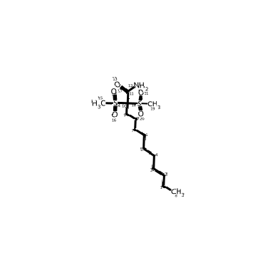 CCCCCCCCCCC(C(N)=O)(S(C)(=O)=O)S(C)(=O)=O